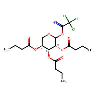 CCCC(=O)O[C@H]1[C@@H](OC(=O)CCC)COC(OC(=N)C(Cl)(Cl)Cl)[C@@H]1OC(=O)CCC